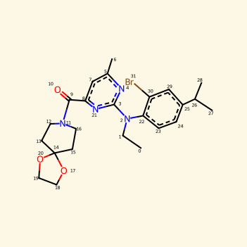 CCN(c1nc(C)cc(C(=O)N2CCC3(CC2)OCCO3)n1)c1ccc(C(C)C)cc1Br